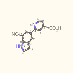 N#Cc1cc(-c2cc(C(=O)O)ccn2)cc2cc[nH]c12